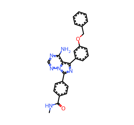 CNC(=O)c1ccc(-c2nc(-c3cccc(OCc4ccccc4)c3)c3c(N)ncnn23)cc1